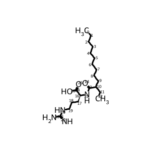 CCCCCCCCCCC(CC)C(=O)N[C@@H](CCCNC(=N)N)C(=O)O